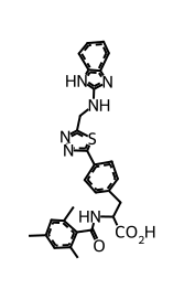 Cc1cc(C)c(C(=O)NC(Cc2ccc(-c3nnc(CNc4nc5ccccc5[nH]4)s3)cc2)C(=O)O)c(C)c1